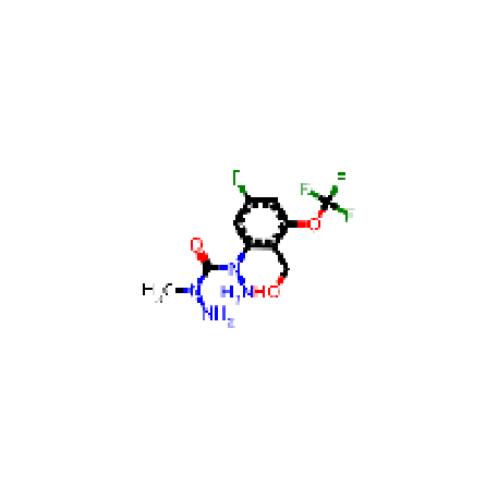 CN(N)C(=O)N(N)c1cc(F)cc(OC(F)(F)F)c1CO